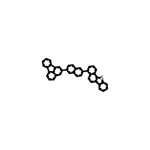 c1ccc2c(c1)-c1cccc3cc(-c4ccc5cc(-c6cccc7c6ccc6c8ccccc8sc76)ccc5c4)cc-2c13